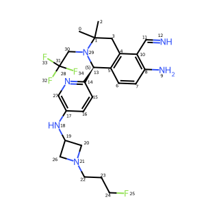 CC1(C)Cc2c(ccc(N)c2C=N)[C@@H](c2ccc(NC3CN(CCCF)C3)cn2)N1CC(F)(F)F